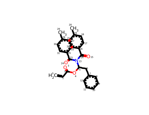 C=CC(=O)OC(Cc1ccccc1)N(C(=O)c1ccc(C)cc1)C(=O)c1ccc(C)cc1